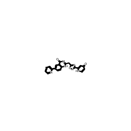 O=c1cc[nH]c(-c2noc(Cc3nc(=O)c4cc(-c5ccccn5)ccc4[nH]3)n2)c1